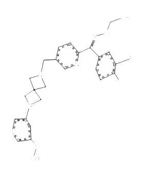 CCON=C(c1ccc(F)c(F)c1)c1ccc(CN2CC3(C2)CN(c2cncc(OC)c2)C3)cn1